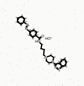 Cl.O=C(NCCCCN1CCN(c2nsc3ccccc23)CC1)c1ccc(N=Nc2ccccc2)cc1